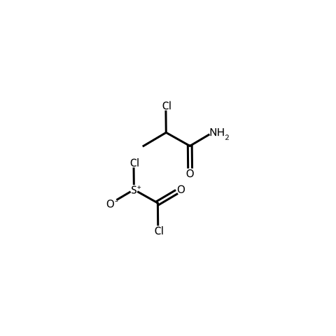 CC(Cl)C(N)=O.O=C(Cl)[S+]([O-])Cl